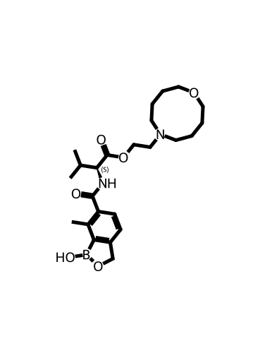 Cc1c(C(=O)N[C@H](C(=O)OCCN2CCCCOCCCC2)C(C)C)ccc2c1B(O)OC2